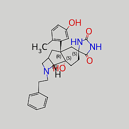 Cc1ccc(O)cc1[C@]12CC3CN(CCc4ccccc4)[C@H]3[C@]1(O)CC[C@@]1(C2)NC(=O)NC1=O